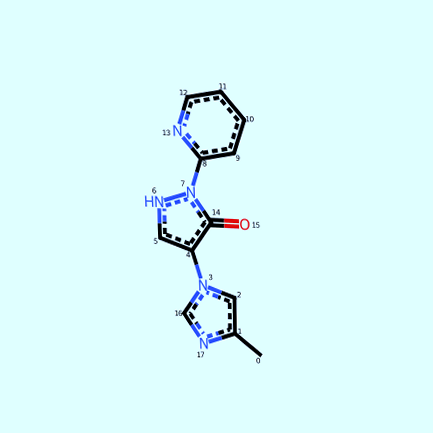 Cc1cn(-c2c[nH]n(-c3ccccn3)c2=O)cn1